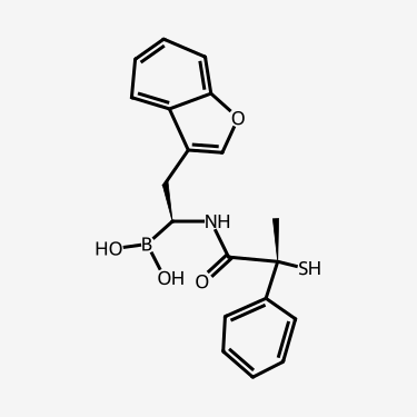 C[C@](S)(C(=O)N[C@H](Cc1coc2ccccc12)B(O)O)c1ccccc1